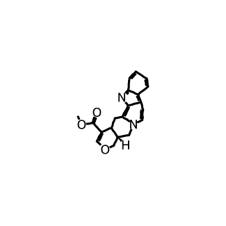 COC(=O)C1=COC[C@H]2Cn3ccc4c5ccccc5nc-4c3CC12